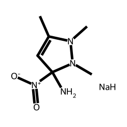 CC1=CC(N)([N+](=O)[O-])N(C)N1C.[NaH]